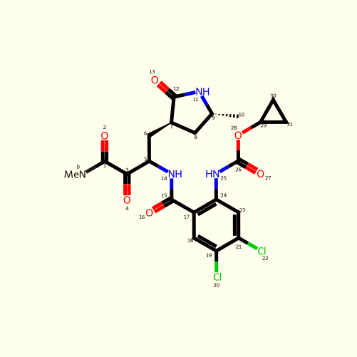 CNC(=O)C(=O)C(C[C@@H]1C[C@@H](C)NC1=O)NC(=O)c1cc(Cl)c(Cl)cc1NC(=O)OC1CC1